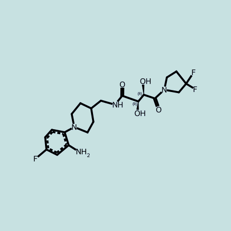 Nc1cc(F)ccc1N1CCC(CNC(=O)[C@H](O)[C@@H](O)C(=O)N2CCC(F)(F)C2)CC1